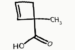 CC1(C(=O)O)C=CC1